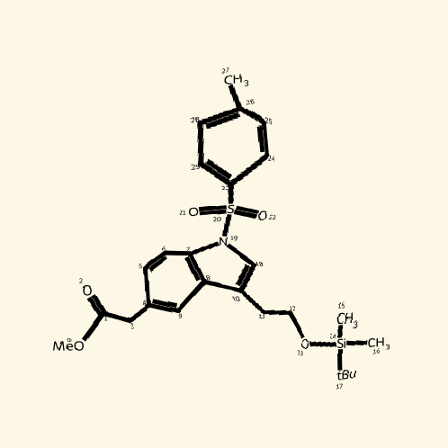 COC(=O)Cc1ccc2c(c1)c(CCO[Si](C)(C)C(C)(C)C)cn2S(=O)(=O)c1ccc(C)cc1